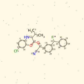 CC(C)C(Nc1ccc(Cl)cc1)C(=O)OC(C#N)c1cccc(C(F)c2ccccc2)c1